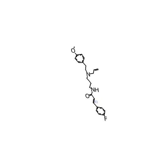 C=CCN(CCCNC(=O)/C=C/c1ccc(F)cc1)CCc1ccc(OC)cc1